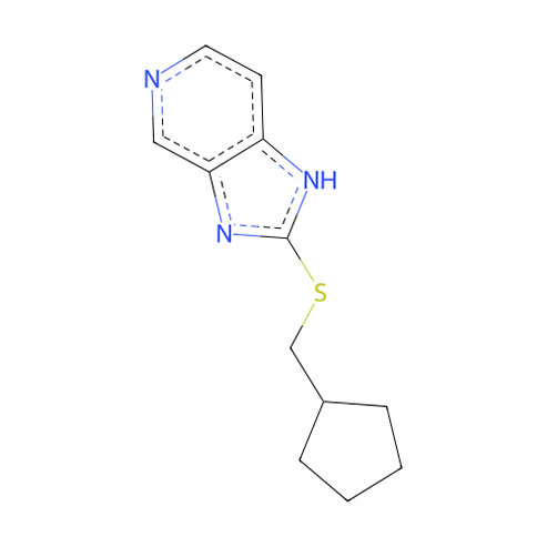 c1cc2[nH]c(SCC3CCCC3)nc2cn1